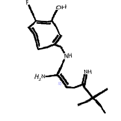 CC(C)(C)C(=N)/C=C(/N)Nc1ccc(F)c(O)c1